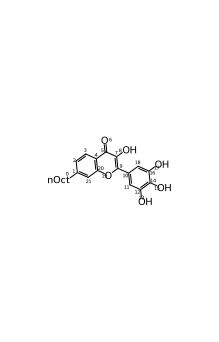 CCCCCCCCc1ccc2c(=O)c(O)c(-c3cc(O)c(O)c(O)c3)oc2c1